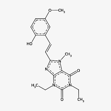 CCn1c(=O)c2c(nc(C=Cc3cc(OC)ccc3O)n2C)n(CC)c1=O